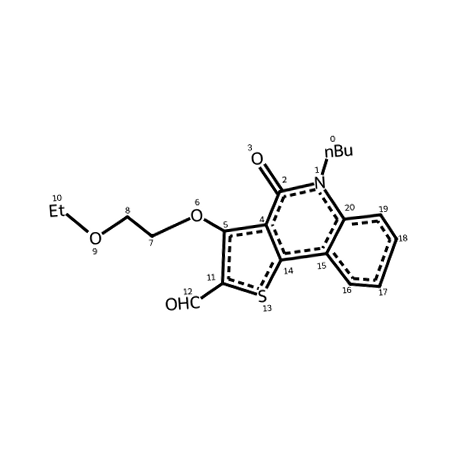 CCCCn1c(=O)c2c(OCCOCC)c(C=O)sc2c2ccccc21